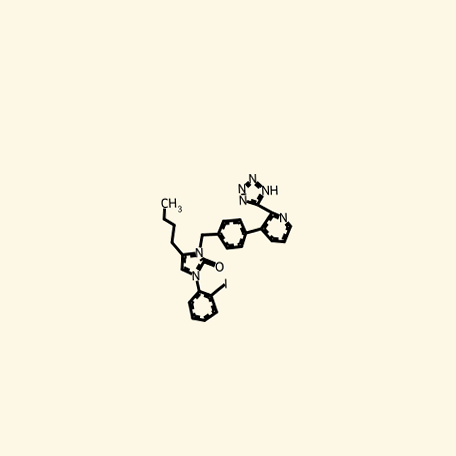 CCCCc1cn(-c2ccccc2I)c(=O)n1Cc1ccc(-c2cccnc2-c2nnn[nH]2)cc1